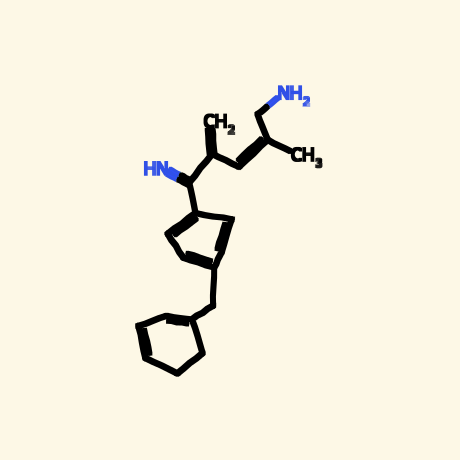 C=C(/C=C(/C)CN)C(=N)c1ccc(CC2=CC=CCC2)cc1